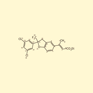 CCOC(=O)/C=C(\C)c1ccc2c(c1)CC(c1cc(Cl)cc(Cl)c1)(C(F)(F)F)O2